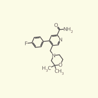 CC1(C)CN(Cc2cnc(C(N)=O)cc2-c2ccc(F)cc2)CCO1